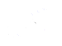 C/C(I)=C/C[C@H](N=[N+]=[N-])c1ccc2cccnc2c1